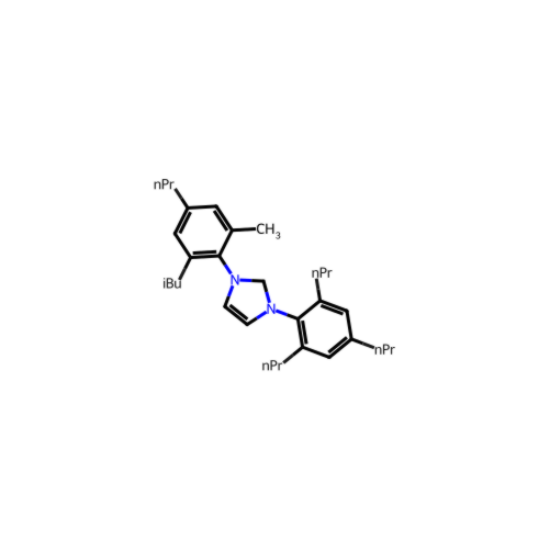 CCCc1cc(CCC)c(N2C=CN(c3c(C)cc(CCC)cc3C(C)CC)C2)c(CCC)c1